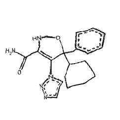 NC(=O)C1=C(n2ccnn2)C(c2ccccc2)(C2CCCCC2)ON1